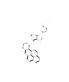 OC[C@H]1O[C@@H](n2cnc3c(N[C@H]4c5c(cc6ccc7cccc8ccc5c6c78)[C@@H](O)[C@H](O)[C@@H]4O)ncnc32)C[C@H]1O